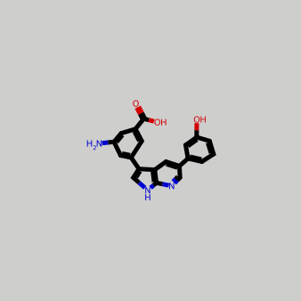 Nc1cc(C(=O)O)cc(-c2c[nH]c3ncc(-c4cccc(O)c4)cc23)c1